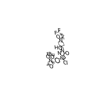 C[C@H]1CN(C(=O)OC(C)(C)C)[C@H](c2ccc(-n3c(Cl)cc4c(=O)n(CC5(O)CCN(C(=O)[C@]6(C)C[C@H]6C(F)F)CC5)cnc43)cc2)CO1